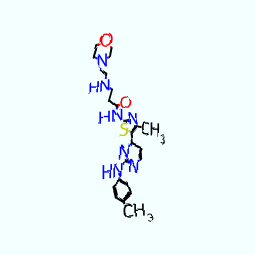 Cc1ccc(Nc2nccc(-c3sc(NC(=O)CCNCCN4CCOCC4)nc3C)n2)cc1